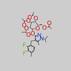 CC(=O)OC[C@H]1O[C@@H](Oc2nn(C(C)C)c(C)c2Cc2ccc(C)c(F)c2F)[C@H](OC(C)=O)[C@@H](OC(C)=O)[C@@H]1OC(C)=O